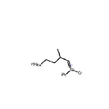 CCCCCCCCC(C)/C=[N+](/[O-])C(C)C